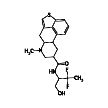 CN1CC(C(=O)NC(CO)C(C)(F)F)CC2c3cccc4scc(c34)CC21